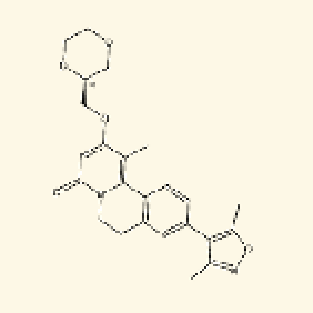 Cc1noc(C)c1-c1ccc2c(c1)CCn1c-2c(C)c(OC[C@@H]2COCCO2)cc1=O